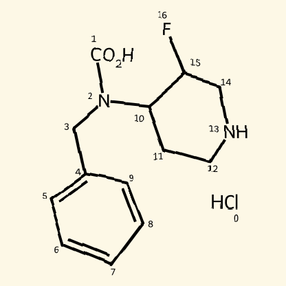 Cl.O=C(O)N(Cc1ccccc1)C1CCNCC1F